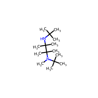 CN(C(C)(C)C)C(C)(C)C(C)(C)NC(C)(C)C